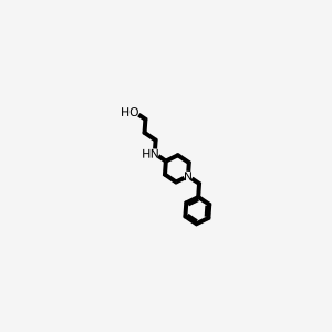 OCCCNC1CCN(Cc2ccccc2)CC1